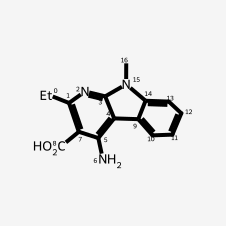 CCc1nc2c(c(N)c1C(=O)O)c1ccccc1n2C